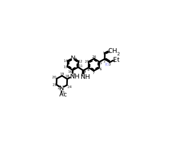 C=C/C(=C\CC)c1ccc(C(=N)c2cnccc2NC2CCCN(C(C)=O)C2)cc1